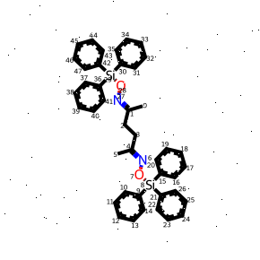 C/C(CC/C(C)=N/O[Si](c1ccccc1)(c1ccccc1)c1ccccc1)=N\O[Si](c1ccccc1)(c1ccccc1)c1ccccc1